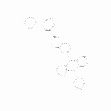 Cc1ccc(-c2c3ccccc3c(-c3ccc4c(c3)CCC(c3cccc(-c5cccnc5)c3)=C4)c3ccccc23)cc1